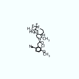 COc1ccc(C#N)c(CC(=O)N2CC[C@@H]3[C@H](CCC[C@H]3[C@](C)(O)C(F)(F)F)[C@@H]2C)c1Cl